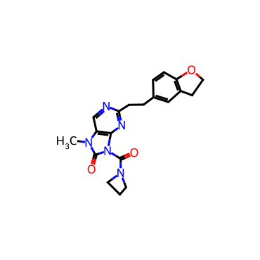 Cn1c(=O)n(C(=O)N2CCC2)c2nc(CCc3ccc4c(c3)CCO4)ncc21